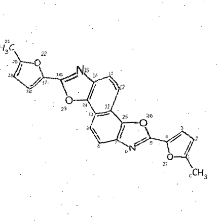 Cc1ccc(-c2nc3ccc4c(ccc5nc(-c6ccc(C)o6)oc54)c3o2)o1